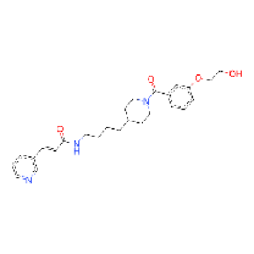 O=C(/C=C/c1cccnc1)NCCCCC1CCN(C(=O)c2cccc(OCCO)c2)CC1